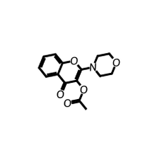 CC(=O)Oc1c(N2CCOCC2)oc2ccccc2c1=O